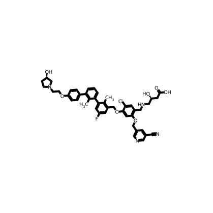 Cc1c(COc2cc(OCc3cncc(C#N)c3)c(CNC[C@@H](O)CC(=O)O)cc2Cl)cc(F)cc1-c1cccc(-c2ccc(OCCN3CC[C@@H](O)C3)cc2)c1C